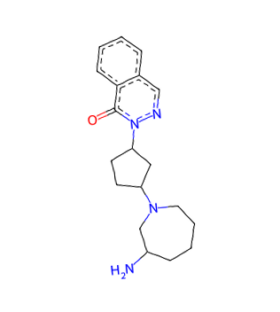 NC1CCCCN(C2CCC(n3ncc4ccccc4c3=O)C2)C1